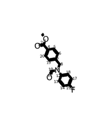 COC(=O)c1ccc(CN(C=O)c2ccc(F)cc2)cc1